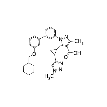 Cc1nn(-c2cccc(-c3cccc(OCC4CCCCC4)c3)c2)c(C2CC2c2cn(C)nn2)c1C(=O)O